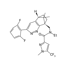 CCN(C[C@@]12CC[C@@H](c3cc(-c4c(F)cccc4F)nnc31)C2(C)C)C(=O)c1cc(C(F)(F)F)n(C)n1